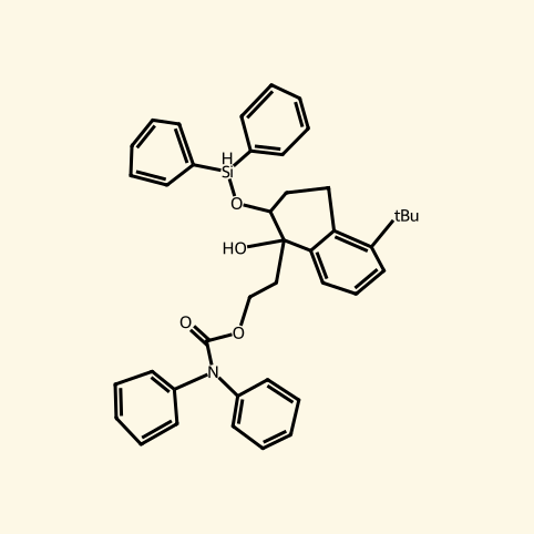 CC(C)(C)c1cccc2c1CCC(O[SiH](c1ccccc1)c1ccccc1)C2(O)CCOC(=O)N(c1ccccc1)c1ccccc1